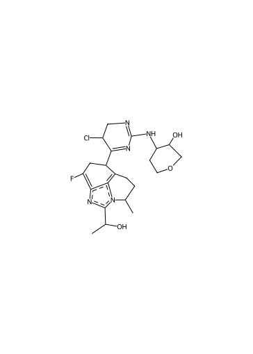 CC(O)c1nc2c3n1C(C)CCC=3C(C1=NC(NC3CCOCC3O)=NCC1Cl)CC=2F